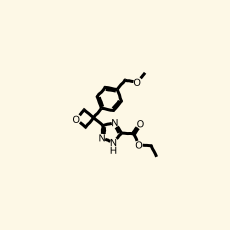 CCOC(=O)c1nc(C2(c3ccc(COC)cc3)COC2)n[nH]1